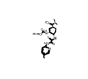 Cc1ccc(NC(=O)C(=S)N[C@H]2CC[C@H](C(=O)N(C)C)C[C@H]2NC(=O)OC(C)(C)C)nc1